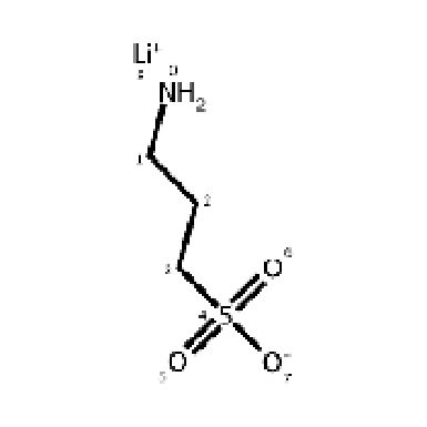 NCCCS(=O)(=O)[O-].[Li+]